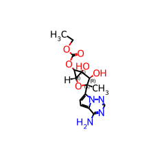 CCOC(=O)OC1[C@H]2O[C@@](C)(c3ccc4c(N)ncnn34)[C@H](O)[C@@]12O